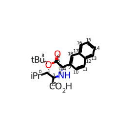 CC(C)CC(N[C@H](C(=O)OC(C)(C)C)c1ccc2ccccc2c1)C(=O)O